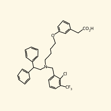 O=C(O)Cc1cccc(OCCCCN(Cc2cccc(C(F)(F)F)c2Cl)CC(c2ccccc2)c2ccccc2)c1